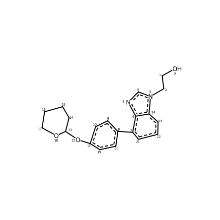 OCCn1cnc2c(-c3ccc(OC4CCCCO4)cc3)cccc21